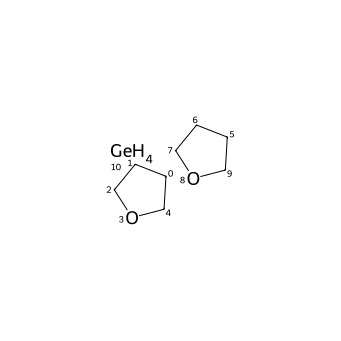 C1CCOC1.C1CCOC1.[GeH4]